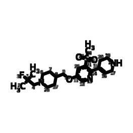 CC(C)(F)CN1CCC(COc2cnc(C3=CCNCC3)c(S(C)(=O)=O)c2)CC1